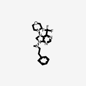 CN(CCc1ccccc1)N1CN(N2CCOCC2)c2c1ncnc2C(F)(F)F